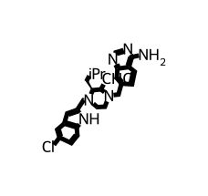 CC(C)C[C@H]1C(C=O)N(Cc2ccc3c(N)ncnc3c2)CCN1Cc1cc2cc(Cl)ccc2[nH]1